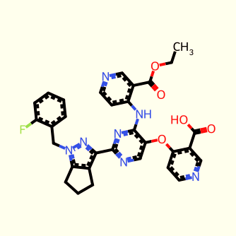 CCOC(=O)c1cnccc1Nc1nc(-c2nn(Cc3ccccc3F)c3c2CCC3)ncc1Oc1ccncc1C(=O)O